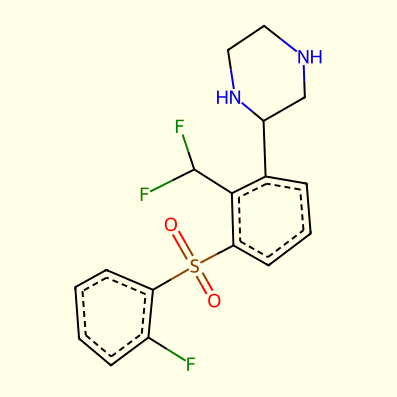 O=S(=O)(c1ccccc1F)c1cccc(C2CNCCN2)c1C(F)F